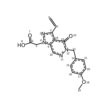 C=Cc1nn(CC(=O)O)c2cnn(Cc3ccc(OC)cc3)c(=O)c12